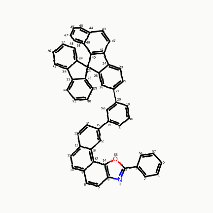 c1ccc(-c2nc3ccc4ccc5ccc(-c6cccc(-c7ccc8c(c7)C7(c9ccccc9-c9ccccc97)c7c-8ccc8ccccc78)c6)cc5c4c3o2)cc1